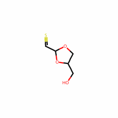 OCC1COC(C=S)O1